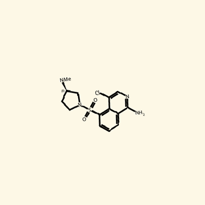 CN[C@@H]1CCN(S(=O)(=O)c2cccc3c(N)ncc(Cl)c23)C1